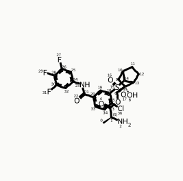 C[C@H](N)C(=O)OC[C@@]1(O)CC2CCC1C2S(=O)(=O)c1cc(C(=O)Nc2cc(F)c(F)c(F)c2)ccc1Cl